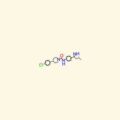 C[CH]CC(=N)c1ccc(NC(=O)N2CCC(c3ccc(Cl)cc3)CC2)cc1